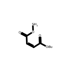 CC(C)COC(=O)/C=C\C(=O)O[SiH3]